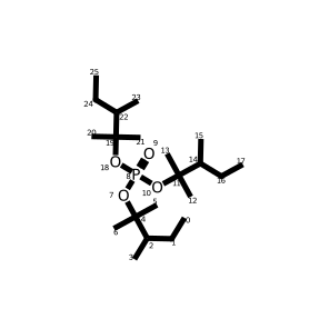 CCC(C)C(C)(C)OP(=O)(OC(C)(C)C(C)CC)OC(C)(C)C(C)CC